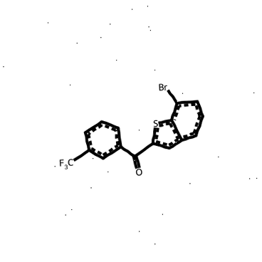 O=C(c1cccc(C(F)(F)F)c1)c1cc2cccc(Br)c2s1